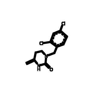 C=C1CCN(Cc2ccc(Cl)cc2Cl)C(=O)N1